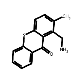 Cc1ccc2sc3ccccc3c(=O)c2c1CN